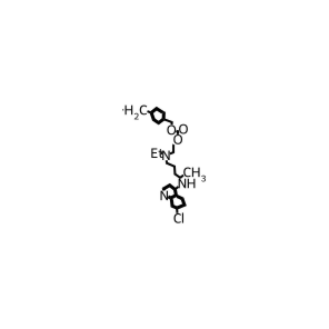 [CH2]c1ccc(COC(=O)OCCN(CC)CCCC(C)Nc2ccnc3cc(Cl)ccc23)cc1